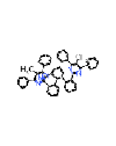 Cc1c(-c2ccccc2)nc(-c2ccccc2-c2cccc(C#N)c2-c2ccccc2-c2nc(-c3ccccc3)c(C)c(-c3ccccc3)n2)nc1-c1ccccc1